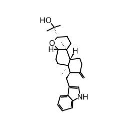 C=C1CC[C@H]2[C@]3(C)CC[C@@H](C(C)(C)O)O[C@H]3CC[C@]2(C)[C@@H]1Cc1c[nH]c2ccccc12